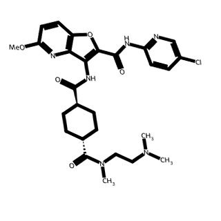 COc1ccc2oc(C(=O)Nc3ccc(Cl)cn3)c(NC(=O)[C@H]3CC[C@H](C(=O)N(C)CCN(C)C)CC3)c2n1